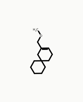 COCC1=CCCC2(CCCCC2)C1